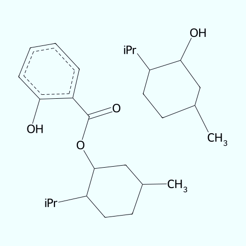 CC1CCC(C(C)C)C(O)C1.CC1CCC(C(C)C)C(OC(=O)c2ccccc2O)C1